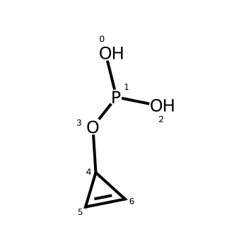 OP(O)OC1C=C1